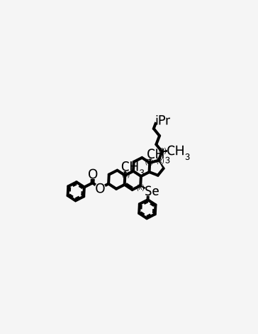 CC(C)CCC[C@@H](C)[C@H]1CCC2C3C(CC[C@@]21C)[C@@]1(C)CCC(OC(=O)c2ccccc2)CC1=C[C@@H]3[Se]c1ccccc1